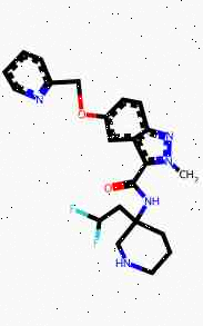 Cn1nc2ccc(OCc3ccccn3)cc2c1C(=O)NC1(CC(F)F)CCCNC1